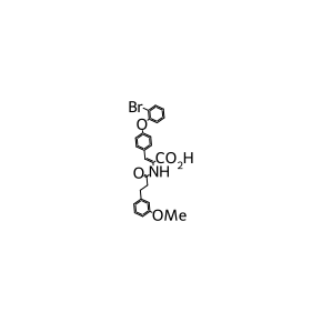 COc1cccc(CCC(=O)NC(=Cc2ccc(Oc3ccccc3Br)cc2)C(=O)O)c1